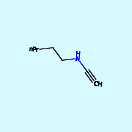 C#CNCCCCC